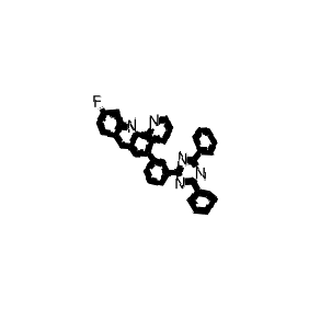 Fc1ccc2cc3cc(-c4cccc(-c5nc(-c6ccccc6)nc(-c6ccccc6)n5)c4)c4cccnc4c3nc2c1